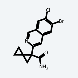 NC(=O)C1(c2cc3cc(Br)c(Cl)cc3cn2)CC12CC2